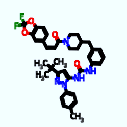 Cc1ccc(-n2nc(C(C)(C)C)cc2NC(=O)Nc2cccc(CC3CCN(C(=O)C=Cc4ccc5c(c4)OC(F)(F)O5)CC3)c2)cc1